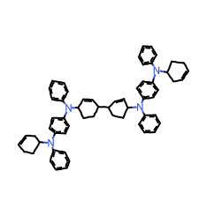 C1=CCC(N(c2ccccc2)c2ccc(N(c3ccccc3)C3C=CC(C4C=CC(N(c5ccccc5)c5ccc(N(c6ccccc6)C6CC=CCC6)cc5)CC4)CC3)cc2)CC1